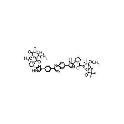 COC(=O)N[C@@H](COC(=O)C(F)(F)F)C(=O)N1CCC[C@H]1c1ncc(-c2ccc3nc(-c4ccc(-c5c[nH]c([C@@H]6CCCN6C(=O)[C@H](C(C)C)N(C)C(=O)O)n5)cc4)cnc3c2)[nH]1